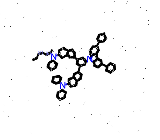 C=C/C=C\C=C(/C)N(c1ccccc1)c1ccc2ccc(-c3cc(-c4ccc5ccc(N(c6ccccc6)c6ccccc6)cc5c4)cc(-n4c5ccc(-c6ccccc6)cc5c5cc(-c6ccccc6)ccc54)c3)cc2c1